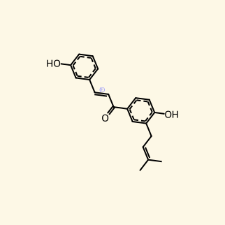 CC(C)=CCc1cc(C(=O)/C=C/c2cccc(O)c2)ccc1O